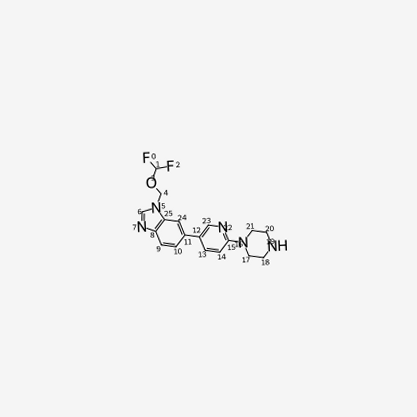 FC(F)OCn1cnc2ccc(-c3ccc(N4CCNCC4)nc3)cc21